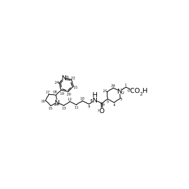 O=C(O)CN1CCC(C(=O)NCCCCCN2CCCC2c2cccnc2)CC1